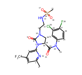 Cc1cc(C(F)(F)F)cc(N2C(=O)N(CCNS(C)(=O)=O)C[C@H]2C(=O)N(C)c2ccc(F)c(Cl)c2)n1